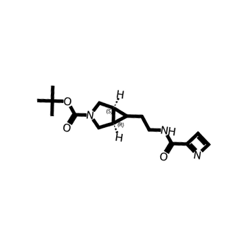 CC(C)(C)OC(=O)N1C[C@@H]2C(CCNC(=O)C3=NC=C3)[C@@H]2C1